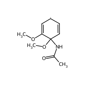 COC1=C[CH]C=CC1(NC(C)=O)OC